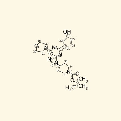 CC(C)(C)OC(=O)N1CCC(n2cnc3c(N4CCOCC4)nc(-c4cccc(O)c4)nc32)CC1